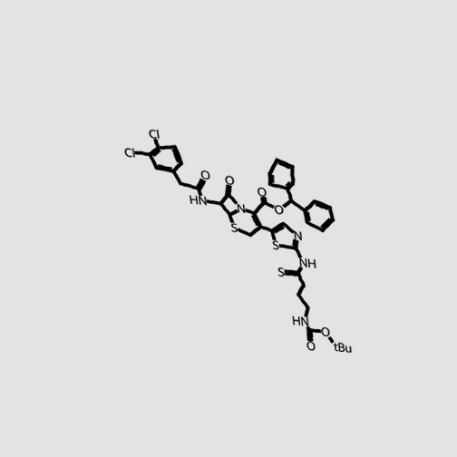 CC(C)(C)OC(=O)NCCCC(=S)Nc1ncc(C2=C(C(=O)OC(c3ccccc3)c3ccccc3)N3C(=O)C(NC(=O)Cc4ccc(Cl)c(Cl)c4)C3SC2)s1